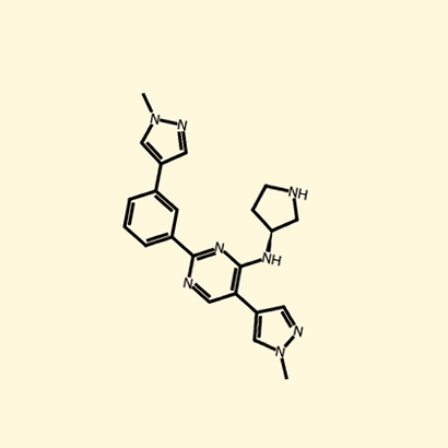 Cn1cc(-c2cccc(-c3ncc(-c4cnn(C)c4)c(N[C@H]4CCNC4)n3)c2)cn1